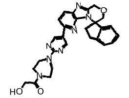 O=C(CO)N1CCN(c2ncc(-c3ccc4nc5n(c4n3)C3(CCc4ccccc43)COC5)cn2)CC1